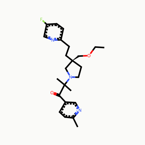 CCOC[C@@]1(CCc2ccc(F)cn2)CCN(C(C)(C)C(=O)c2ccc(C)nc2)C1